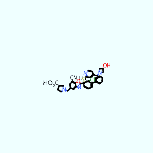 CC1(Cl)C(c2ccccc2)=CC=CC1(Sc1cc(CN2CC(O)C2)ccn1)c1nc2cc(CN3CC[C@@H](C(=O)O)C3)cc(C#N)c2o1